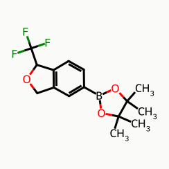 CC1(C)OB(c2ccc3c(c2)COC3C(F)(F)F)OC1(C)C